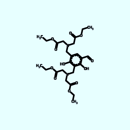 CCOC(=O)CN(CC(=O)OCC)Cc1cc(C=O)c(O)c(CN(CC(=O)OCC)CC(=O)OCC)c1O